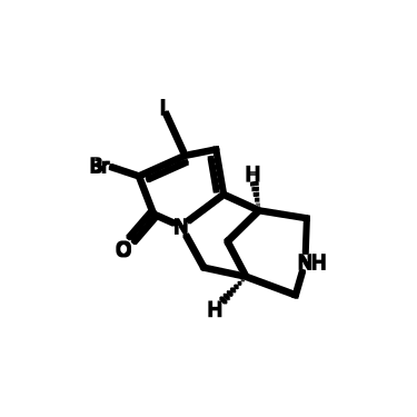 O=c1c(Br)c(I)cc2n1C[C@@H]1CNC[C@H]2C1